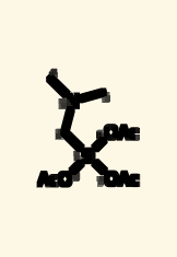 CC(=O)O[Si](CN(C)C)(OC(C)=O)OC(C)=O